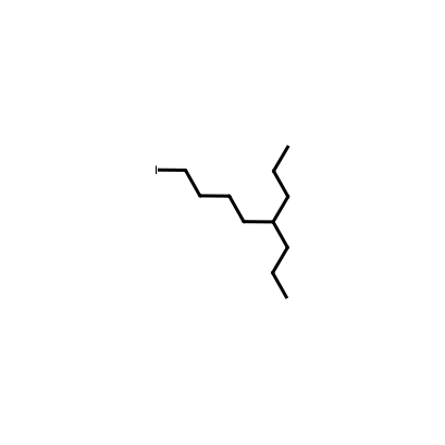 CCCC(CCC)CCCCI